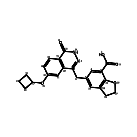 O=C(O)c1cc(Cc2n[nH]c(=O)c3ccc(OC4CCC4)cc23)cc2c1OCC2